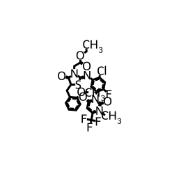 CCOC(=O)CN1C(=O)C(Cc2ccccc2OC)SC1=Nc1cc(-n2c(=O)cc(C(F)(F)F)n(C)c2=O)c(F)cc1Cl